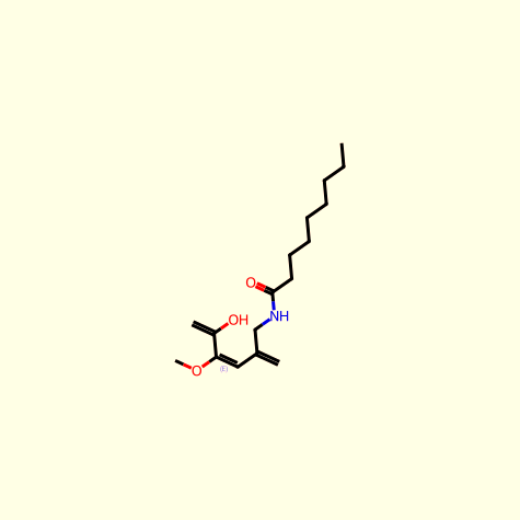 C=C(/C=C(/OC)C(=C)O)CNC(=O)CCCCCCCC